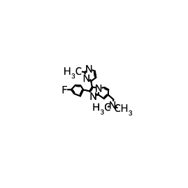 Cc1nccc(-c2c(-c3ccc(F)cc3)nc3cc(CN(C)C)ccn23)n1